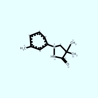 Cc1cccc(N2CC(C)(C)C(=O)N2)c1